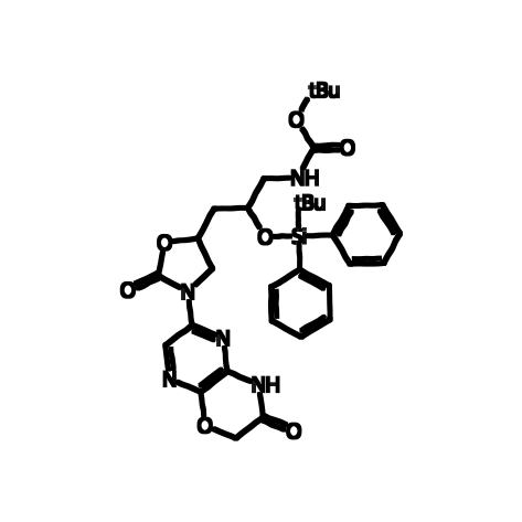 CC(C)(C)OC(=O)NCC(CC1CN(c2cnc3c(n2)NC(=O)CO3)C(=O)O1)O[Si](c1ccccc1)(c1ccccc1)C(C)(C)C